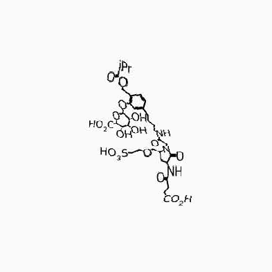 CC(C)C(=O)OCc1ccc(CCCCNC(=O)CN2C(=O)[C@@H](NC(=O)CCC(=O)O)C[C@H]2COCCS(=O)(=O)O)cc1O[C@@H]1O[C@H](C(=O)O)[C@@H](O)[C@H](O)[C@H]1O